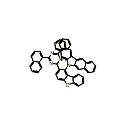 c1ccc(C2=NC(c3cccc4ccccc34)=NC(c3ccc4oc5ccccc5c4c3-n3c4cc5ccccc5cc4c4cc5ccccc5cc43)N2)cc1